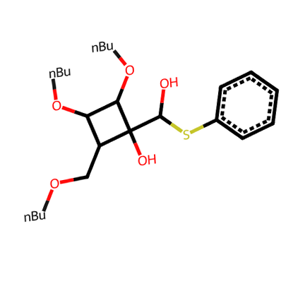 CCCCOCC1C(OCCCC)C(OCCCC)C1(O)C(O)Sc1ccccc1